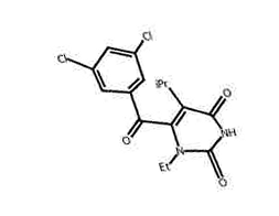 CCn1c(C(=O)c2cc(Cl)cc(Cl)c2)c(C(C)C)c(=O)[nH]c1=O